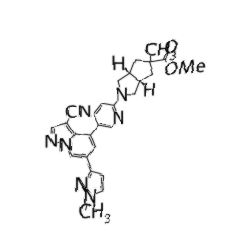 COC(=O)C1(C)C[C@H]2CN(c3ccc(-c4cc(-c5ccn(C)n5)cn5ncc(C#N)c45)cn3)C[C@H]2C1